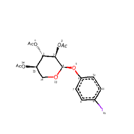 CC(=O)O[C@@H]1[C@@H](OC(C)=O)[C@@H](Oc2ccc(I)cc2)OC[C@H]1OC(C)=O